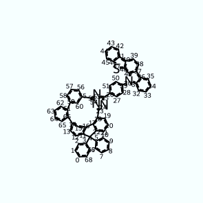 c1ccc(C2(c3ccccc3)c3ccc4cc3-c3c(cccc32)-c2nc(-c3ccc(-n5c6ccccc6c6ccc7c8ccccc8sc7c65)cc3)nc(n2)-c2cccc(c2)-c2ccccc2-4)cc1